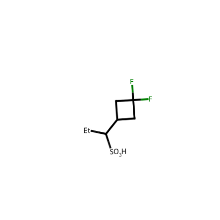 CCC(C1CC(F)(F)C1)S(=O)(=O)O